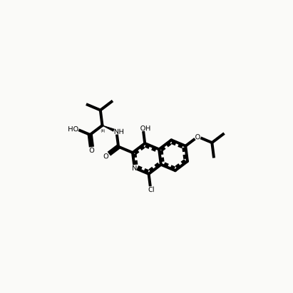 CC(C)Oc1ccc2c(Cl)nc(C(=O)N[C@@H](C(=O)O)C(C)C)c(O)c2c1